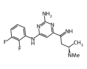 CN[C@H](C)CC(=N)c1cc(Nc2cccc(F)c2F)nc(N)n1